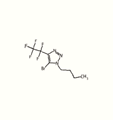 CCCCn1nnc(C(F)(F)C(F)(F)F)c1Br